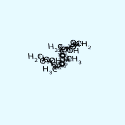 C=CC(=O)OCC(O)COC(C)Cc1ccc(C(CC)c2ccc(CC(C)OCC(O)COC(=O)C=C)cc2)cc1